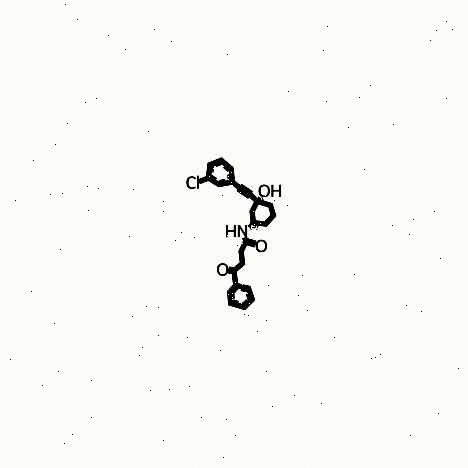 O=C(CCC(=O)c1ccccc1)N[C@H]1CCC[C@@](O)(C#Cc2cccc(Cl)c2)C1